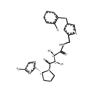 Nc1csc([C@H]2CCCN2C(=O)[C@H](O)[C@@H](O)C(=O)NCc2cc(Cc3ccccc3Cl)cs2)n1